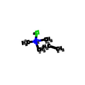 C[N+](C)(C)Cl.[CH2]C